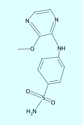 COc1nccnc1Nc1ccc(S(N)(=O)=O)cc1